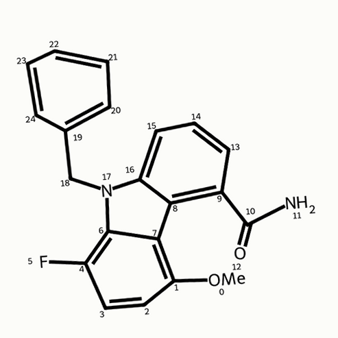 COc1ccc(F)c2c1c1c(C(N)=O)cccc1n2Cc1ccccc1